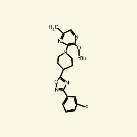 Cc1cnc(OC(C)(C)C)c(N2CCC(c3nc(-c4cccc(F)c4)no3)CC2)n1